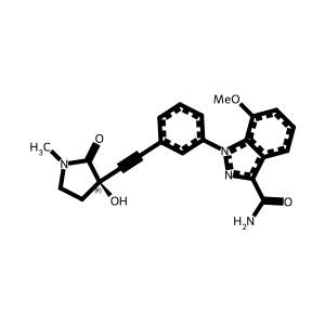 COc1cccc2c(C(N)=O)nn(-c3cccc(C#C[C@]4(O)CCN(C)C4=O)c3)c12